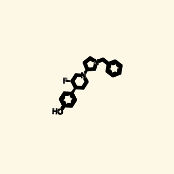 Oc1ccc([C@@H]2CCN([C@H]3CCN(Cc4ccccc4)C3)C[C@H]2F)cc1